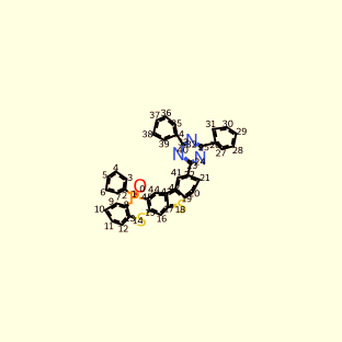 O=P1(c2ccccc2)c2ccccc2Sc2cc3sc4ccc(-c5nc(-c6ccccc6)nc(-c6ccccc6)n5)cc4c3cc21